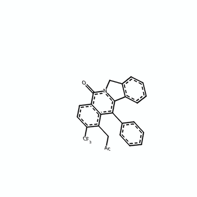 CC(=O)Cc1c(C(F)(F)F)ccc2c(=O)n3c(c(-c4ccccc4)c12)-c1ccccc1C3